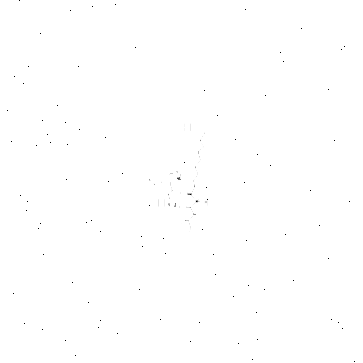 CCCCCCCCCCC(=O)C(O)C(O)C(O)C(O)CO.O=S(=O)([O-])CCCO.[Na+]